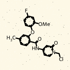 COc1cc(F)ccc1Oc1cc(C)ccc1C(=O)Nc1ccn(CCl)c(=O)c1